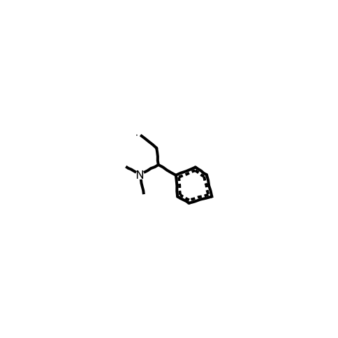 [CH2]CC(c1ccccc1)N(C)C